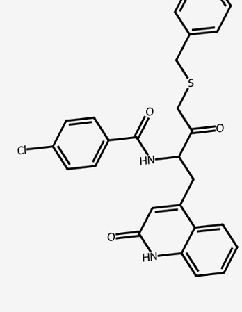 O=C(NC(Cc1cc(=O)[nH]c2ccccc12)C(=O)CSCc1ccccc1)c1ccc(Cl)cc1